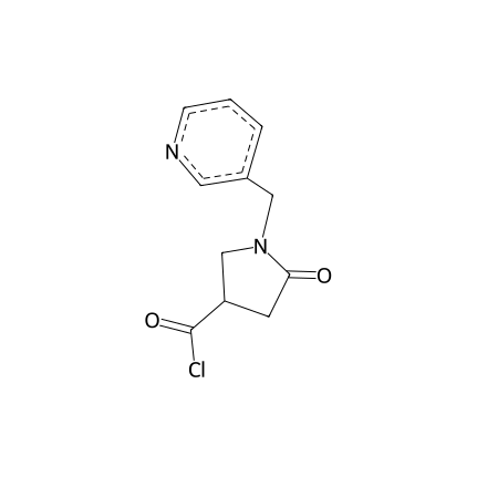 O=C(Cl)C1CC(=O)N(Cc2cccnc2)C1